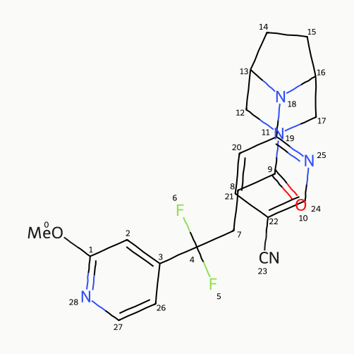 COc1cc(C(F)(F)CCC(=O)N2CC3CCC(C2)N3c2ccc(C#N)cn2)ccn1